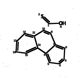 OC=S.c1ccc2c(c1)ccc1ccccc12